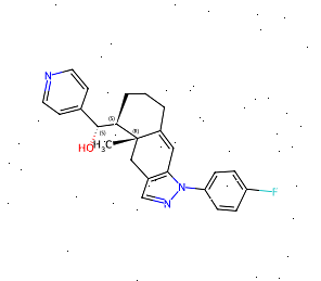 C[C@]12Cc3cnn(-c4ccc(F)cc4)c3C=C1CCC[C@@H]2[C@H](O)c1ccncc1